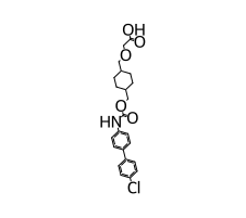 O=C(O)COCC1CCC(COC(=O)Nc2ccc(-c3ccc(Cl)cc3)cc2)CC1